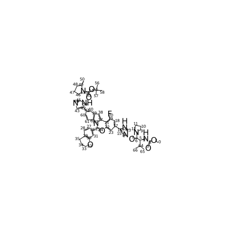 COC(=O)N[C@H](C(=O)N1CCC[C@H]1c1ncc(-c2cc(F)c3c(c2)OC(c2ccc4c(c2)OCCC4)n2c-3cc3cc(-c4cnc([C@@H]5CC[C@@H](C)N5C(=O)OC(C)(C)C)[nH]4)ccc32)[nH]1)C(C)C